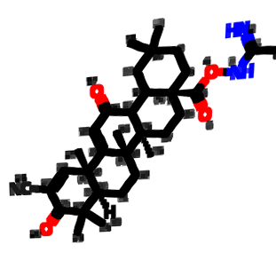 CC(=N)NOC(=O)[C@]12CCC(C)(C)CC1C1C(=O)C=C3[C@@]4(C)C=C(C#N)C(=O)C(C)(C)[C@@H]4CC[C@@]3(C)[C@]1(C)CC2